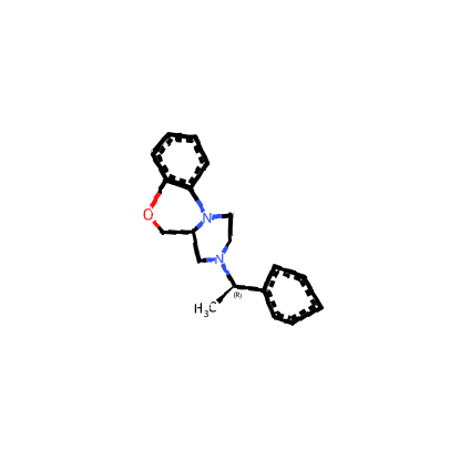 C[C@H](c1ccccc1)N1CCN2c3ccccc3OCC2C1